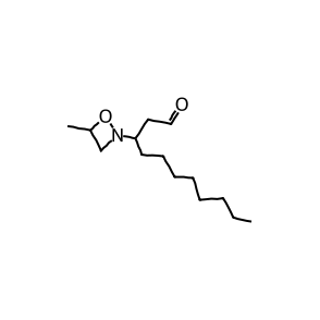 CCCCCCCCC(CC=O)N1CC(C)O1